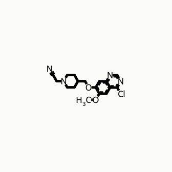 COc1cc2c(Cl)ncnc2cc1OCC1CCN(CC#N)CC1